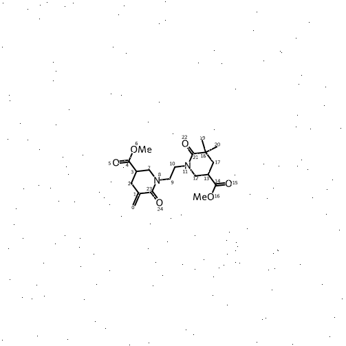 C=C1CC(C(=O)OC)CN(CCN2CC(C(=O)OC)CC(C)(C)C2=O)C1=O